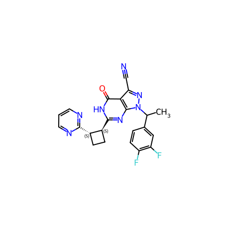 CC(c1ccc(F)c(F)c1)n1nc(C#N)c2c(=O)[nH]c([C@H]3CC[C@@H]3c3ncccn3)nc21